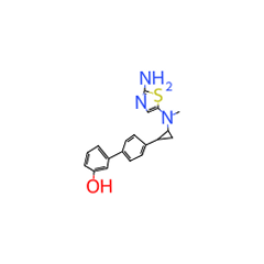 CN(c1cnc(N)s1)C1CC1c1ccc(-c2cccc(O)c2)cc1